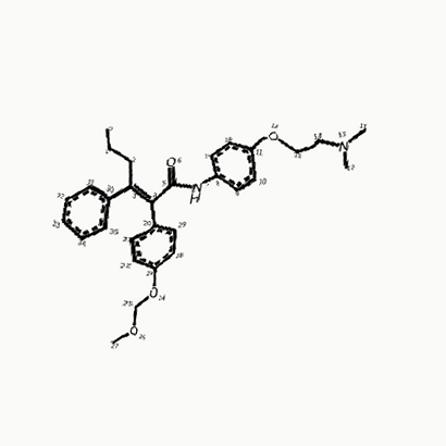 CCC/C(=C(\C(=O)Nc1ccc(OCCN(C)C)cc1)c1ccc(OCOC)cc1)c1ccccc1